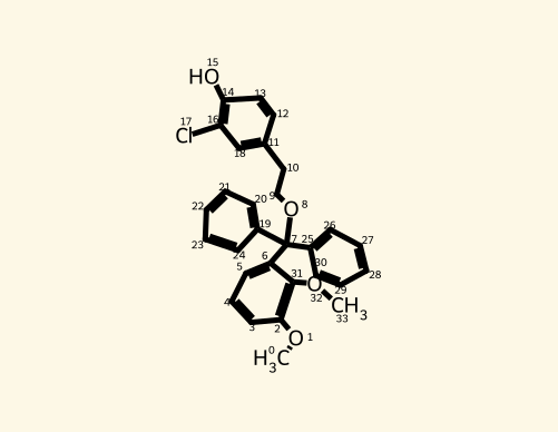 COc1cccc(C(OCCc2ccc(O)c(Cl)c2)(c2ccccc2)c2ccccc2)c1OC